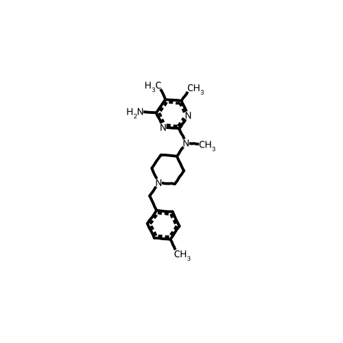 Cc1ccc(CN2CCC(N(C)c3nc(C)c(C)c(N)n3)CC2)cc1